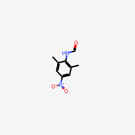 Cc1cc([N+](=O)[O-])cc(C)c1NC=O